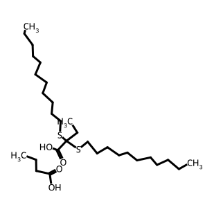 CCCC(=O)O.CCCCCCCCCCCSC(CC)(SCCCCCCCCCCC)C(=O)O